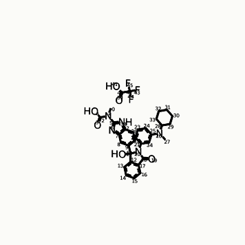 CN(C(=O)O)c1nc2cc(C3(O)c4ccccc4C(=O)N3c3cccc(N(C)C4CCCCC4)c3)ccc2[nH]1.O=C(O)C(F)(F)F